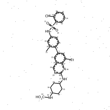 CCc1cc(-c2ccc(NS(=O)(=O)c3ccccc3Cl)cc2C)cc2cnc(NC3CCC(NC(=O)O)CC3)nc12